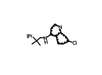 CC(C)C(C)(C)CNc1ccnc2cc(Cl)ccc12